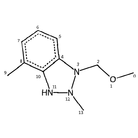 COCN1c2cccc(C)c2NN1C